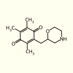 CC1=C(C)C(=O)C(CC2CNCCO2)=C(C)C1=O